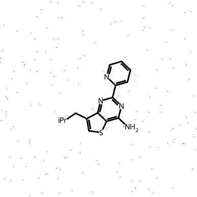 CC(C)Cc1csc2c(N)nc(-c3ccccn3)nc12